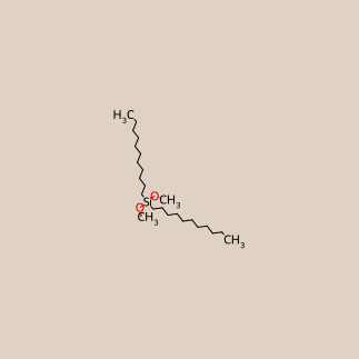 CCCCCCCCCCC[Si](CCCCCCCCCCC)(OC)OC